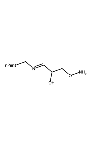 CCCCCCN=CC(O)CON